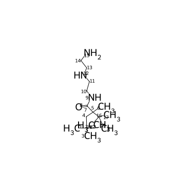 CC(C)(C)CC(C)(C(=O)NCCNCCN)C(C)(C)C